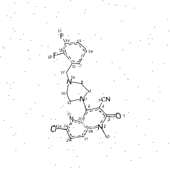 Cn1c(=O)c(C#N)c(N2CCN(Cc3cccc(F)c3F)CC2)c2nc(Cl)ccc21